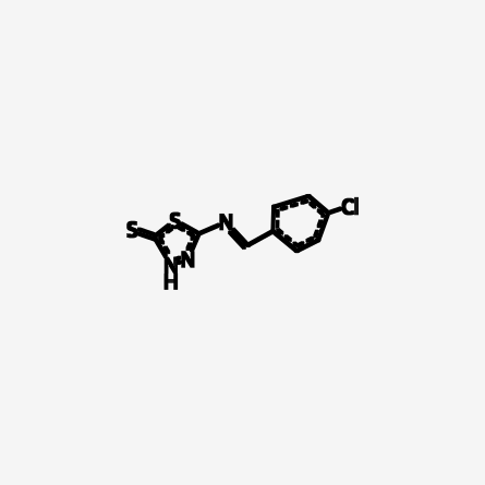 S=c1[nH]nc(N=Cc2ccc(Cl)cc2)s1